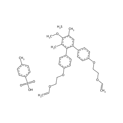 C=COCCOc1ccc(-c2cc(C)c(OC)c(C)c2-c2ccc(OCCOC=C)cc2)cc1.Cc1ccc(S(=O)(=O)O)cc1.S